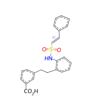 O=C(O)c1cccc(CCc2ccccc2NS(=O)(=O)/C=C/c2ccccc2)c1